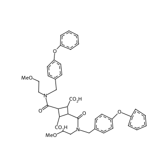 COCCN(Cc1ccc(Oc2ccccc2)cc1)C(=O)C1C(C(=O)O)C(C(=O)N(CCOC)Cc2ccc(Oc3ccccc3)cc2)C1C(=O)O